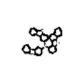 c1ccc2c(c1)ccc1c2oc2cccc(N(c3ccc4oc5ccccc5c4c3)c3ccc4oc5ccccc5c4c3)c21